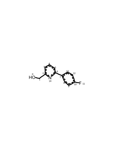 OCc1[c]ccc(-c2ccc(F)cc2)n1